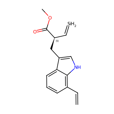 C=Cc1cccc2c(C[C@H](C=[SiH2])C(=O)OC)c[nH]c12